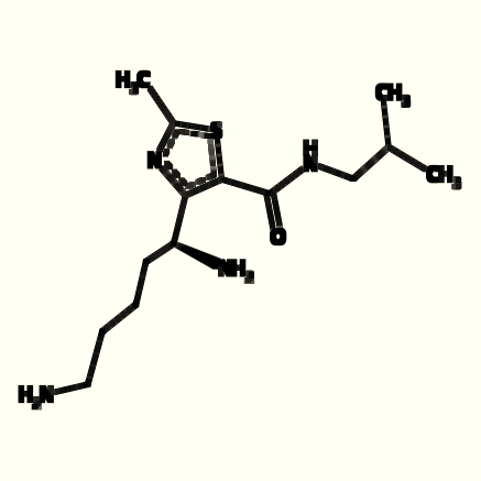 Cc1nc([C@@H](N)CCCCN)c(C(=O)NCC(C)C)s1